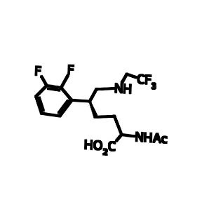 CC(=O)NC(CC[C@H](CNCC(F)(F)F)c1cccc(F)c1F)C(=O)O